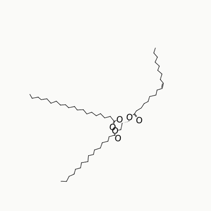 CCCCCCCC/C=C\CCCCCCCC(=O)OC[C@H](COC(=O)CCCCCCCCCCCCCCC)OC(=O)CCCCCCCCCCCCCCCCCCC